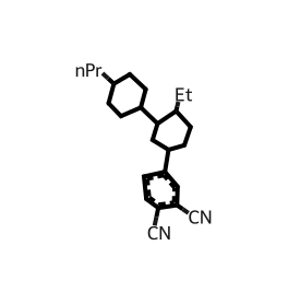 CCCC1CCC(C2CC(c3ccc(C#N)c(C#N)c3)CCC2CC)CC1